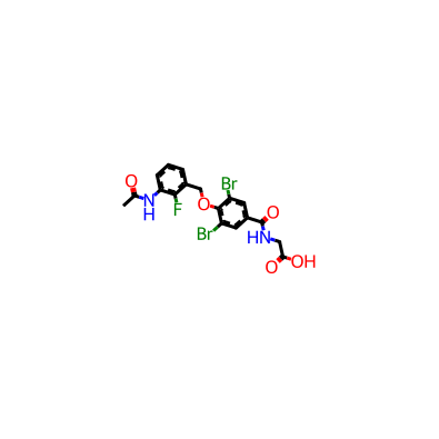 CC(=O)Nc1cccc(COc2c(Br)cc(C(=O)NCC(=O)O)cc2Br)c1F